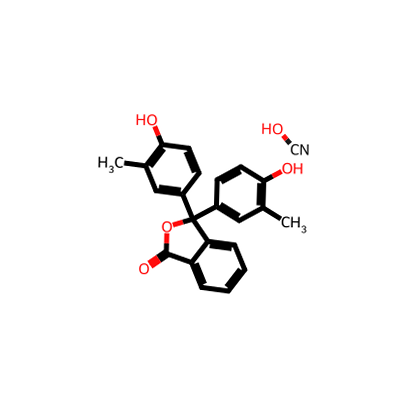 Cc1cc(C2(c3ccc(O)c(C)c3)OC(=O)c3ccccc32)ccc1O.N#CO